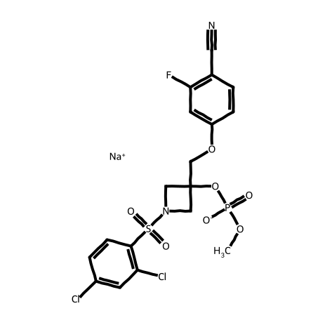 COP(=O)([O-])OC1(COc2ccc(C#N)c(F)c2)CN(S(=O)(=O)c2ccc(Cl)cc2Cl)C1.[Na+]